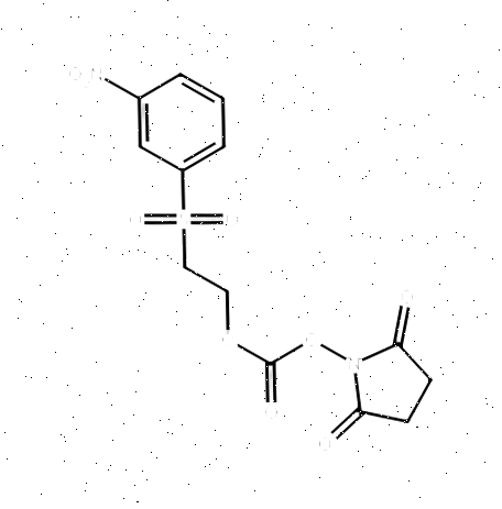 O=C(OCCS(=O)(=O)c1cccc([N+](=O)[O-])c1)ON1C(=O)CCC1=O